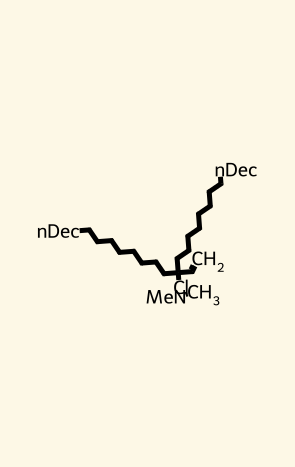 C=CC(Cl)(CCCCCCCCCCCCCCCCCC)CCCCCCCCCCCCCCCCCC.CNC